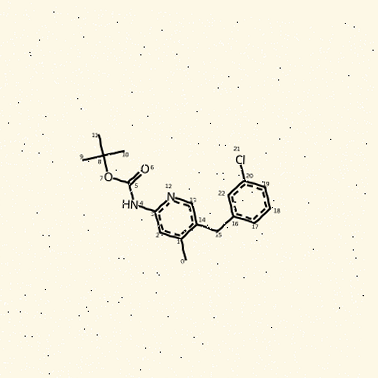 Cc1cc(NC(=O)OC(C)(C)C)ncc1Cc1cccc(Cl)c1